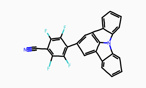 N#Cc1c(F)c(F)c(-c2cc3c4ccccc4n4c5ccccc5c(c2)c34)c(F)c1F